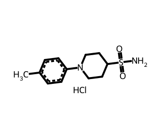 Cc1ccc(N2CCC(S(N)(=O)=O)CC2)cc1.Cl